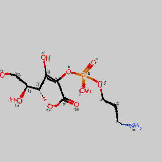 NCCCOP(=O)(O)OC1=C(O)[C@@H]([C@@H](O)CO)OC1=O